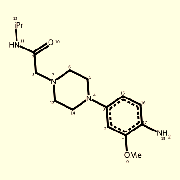 COc1cc(N2CCN(CC(=O)NC(C)C)CC2)ccc1N